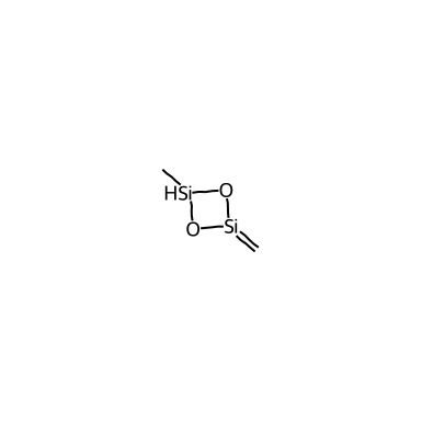 C=[Si]1O[SiH](C)O1